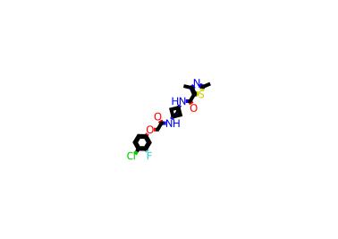 Cc1nc(C)c(C(=O)NC23CC(NC(=O)COc4ccc(Cl)c(F)c4)(C2)C3)s1